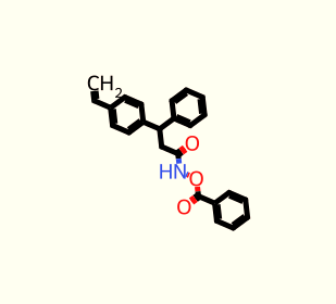 C=Cc1ccc(C(CC(=O)NOC(=O)c2ccccc2)c2ccccc2)cc1